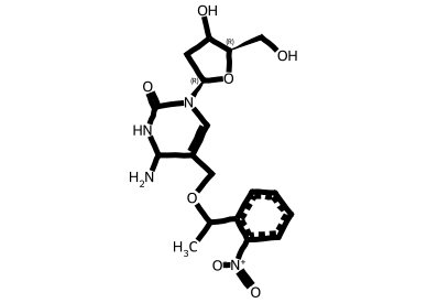 CC(OCC1=CN([C@H]2CC(O)[C@@H](CO)O2)C(=O)NC1N)c1ccccc1[N+](=O)[O-]